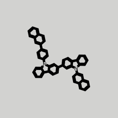 c1ccc2cc(-c3ccc(-n4c5ccccc5c5ccc(-c6ccc7c8ccccc8n(-c8ccc9ccccc9c8)c7c6)cc54)cc3)ccc2c1